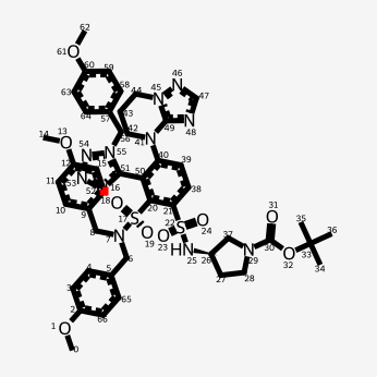 COc1ccc(CN(Cc2ccc(OC)cc2)S(=O)(=O)c2c(S(=O)(=O)N[C@@H]3CCN(C(=O)OC(C)(C)C)C3)ccc(N3CCCn4ncnc43)c2-c2nnnn2Cc2ccc(OC)cc2)cc1